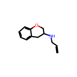 C=CCNC1COc2ccccc2C1